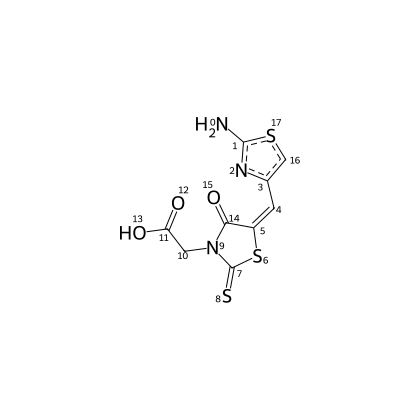 Nc1nc(C=C2SC(=S)N(CC(=O)O)C2=O)cs1